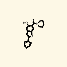 O=C(c1cc2oc(-c3ccccc3)cc2cc1O)N1CCCCC1